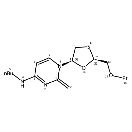 C=C1N=C(NCCCC)C=CN1[C@H]1CS[C@@H](COCC)O1